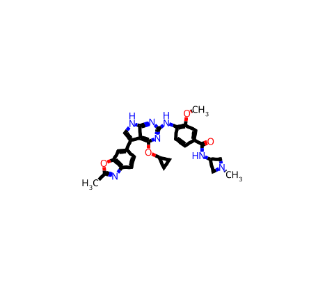 COc1cc(C(=O)NC2CN(C)C2)ccc1Nc1nc(OC2CC2)c2c(-c3ccc4nc(C)oc4c3)c[nH]c2n1